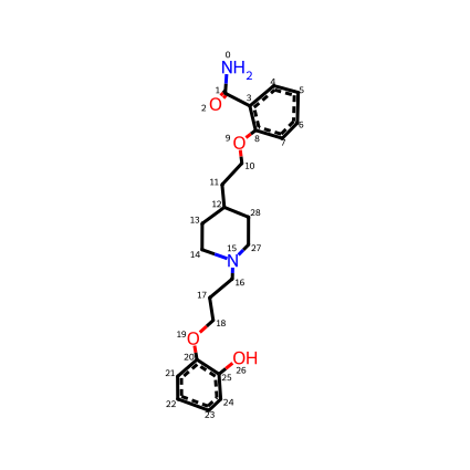 NC(=O)c1ccccc1OCCC1CCN(CCCOc2ccccc2O)CC1